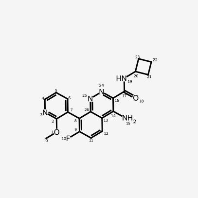 COc1ncccc1-c1c(F)ccc2c(N)c(C(=O)NC3CCC3)nnc12